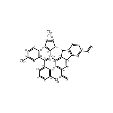 C=Cc1ccc2c(c1)-c1cc(C=C)c[c]([Zr+2]([C]3=CC=CC3)=[C](c3cccc(Cl)c3)c3cccc(Cl)c3)c1C2.[Cl-].[Cl-]